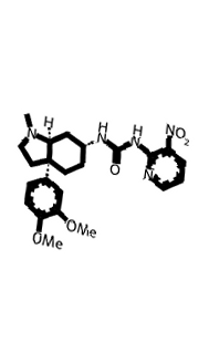 COc1ccc([C@@]23CC[C@@H](NC(=O)Nc4ncccc4[N+](=O)[O-])C[C@@H]2N(C)CC3)cc1OC